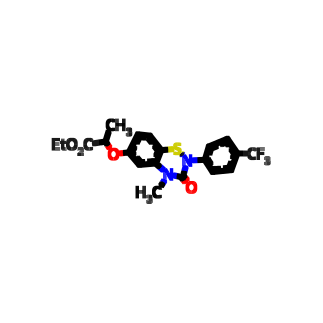 CCOC(=O)C(C)Oc1ccc2c(c1)N(C)C(=O)N(c1ccc(C(F)(F)F)cc1)S2